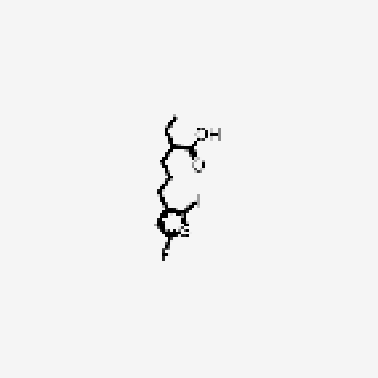 CCC(CCCc1cc(F)sc1I)C(=O)O